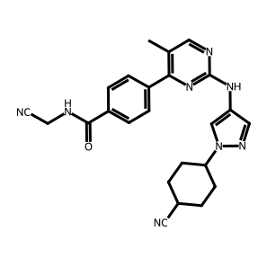 Cc1cnc(Nc2cnn(C3CCC(C#N)CC3)c2)nc1-c1ccc(C(=O)NCC#N)cc1